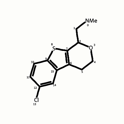 CNCC1OCCc2c1sc1ccc(Cl)cc21